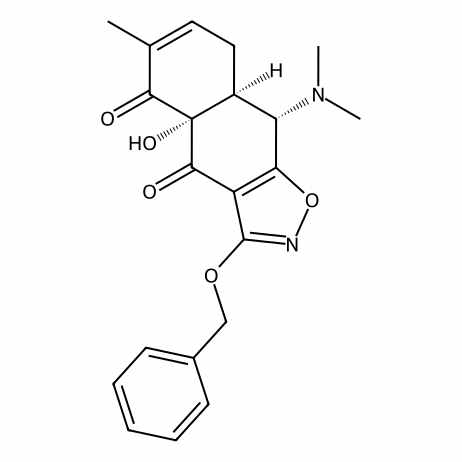 CC1=CC[C@H]2[C@H](N(C)C)c3onc(OCc4ccccc4)c3C(=O)[C@@]2(O)C1=O